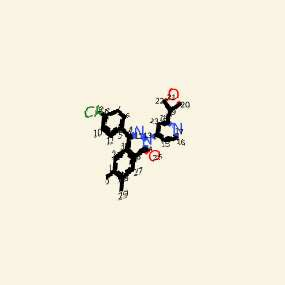 Cc1cc2c(-c3ccc(Cl)cc3)nn(-c3ccnc(C4COC4)c3)c(=O)c2cc1C